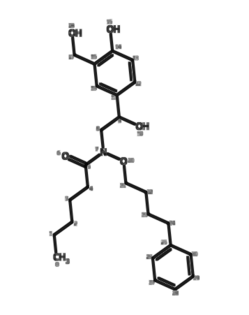 CCCCCC(=O)N(CC(O)c1ccc(O)c(CO)c1)OCCCCc1ccccc1